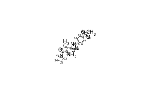 C[C@H](c1nc(-c2ccc(S(C)(=O)=O)cc2)no1)[C@H](N)C(=O)N1CCCC1